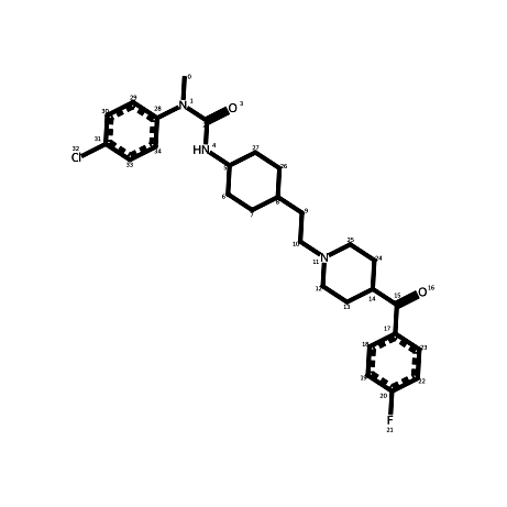 CN(C(=O)NC1CCC(CCN2CCC(C(=O)c3ccc(F)cc3)CC2)CC1)c1ccc(Cl)cc1